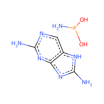 NP(O)O.Nc1ncc2[nH]c(N)nc2n1